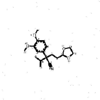 COc1ccc(C(C#N)(CCC2OCCO2)C(C)C)cc1OC